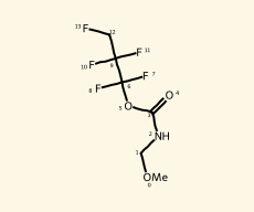 COCNC(=O)OC(F)(F)C(F)(F)CF